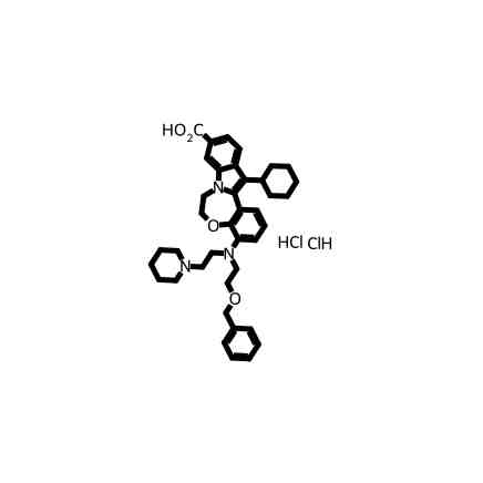 Cl.Cl.O=C(O)c1ccc2c(C3CCCCC3)c3n(c2c1)CCOc1c-3cccc1N(CCOCc1ccccc1)CCN1CCCCC1